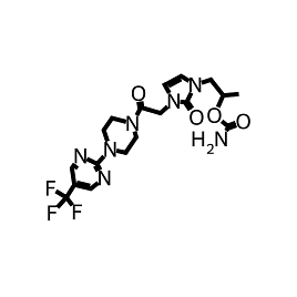 CC(Cn1ccn(CC(=O)N2CCN(c3ncc(C(F)(F)F)cn3)CC2)c1=O)OC(N)=O